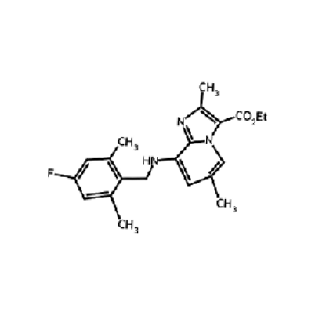 CCOC(=O)c1c(C)nc2c(NCc3c(C)cc(F)cc3C)cc(C)cn12